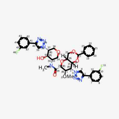 CO[C@@H]1[C@@H](n2cc(-c3cccc(F)c3)nn2)[C@H]2OC(c3ccccc3)OC[C@H]2O[C@H]1C(=O)N(C)[C@H]1COC[C@@H](n2cc(-c3cccc(F)c3)nn2)[C@@H]1O